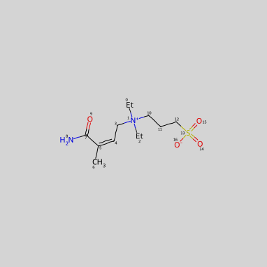 CC[N+](CC)(CC=C(C)C(N)=O)CCCS(=O)(=O)[O-]